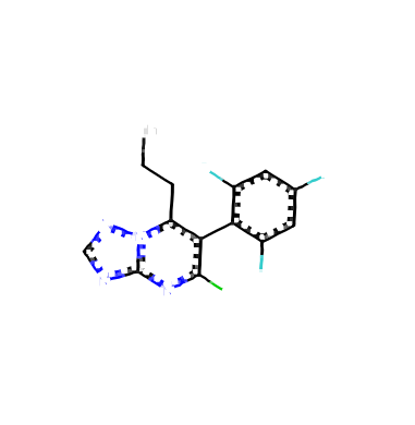 CC(C)CCc1c(-c2c(F)cc(F)cc2F)c(Cl)nc2ncnn12